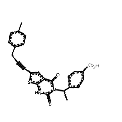 Cc1ccc(CC#Cc2cc3c(=O)n(C(C)c4ccc(C(=O)O)cc4)c(=O)[nH]c3s2)cc1